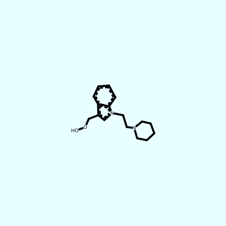 OOCc1cn(CCN2CCCCC2)c2ccccc12